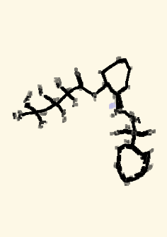 O=C(OC1CCCC/C1=N\NS(=O)(=O)c1ccccc1)C(F)(F)C(F)(F)C(F)(F)C(F)(F)F